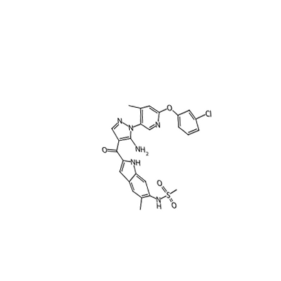 Cc1cc2cc(C(=O)c3cnn(-c4cnc(Oc5cccc(Cl)c5)cc4C)c3N)[nH]c2cc1NS(C)(=O)=O